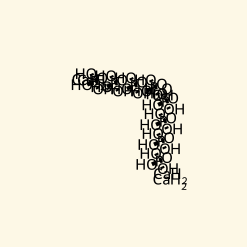 O.O=P(O)(O)O.O=P(O)(O)O.O=P(O)(O)O.O=P(O)(O)O.O=P(O)(O)O.O=P(O)(O)O.O=P(O)(O)O.O=P(O)(O)O.[CaH2].[CaH2].[CaH2].[CaH2]